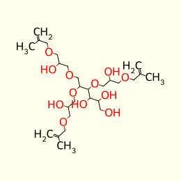 C=C(C)COCC(O)COCC(OCC(O)COCC(=C)C)C(OCC(O)COCC(=C)C)C(O)C(O)CO